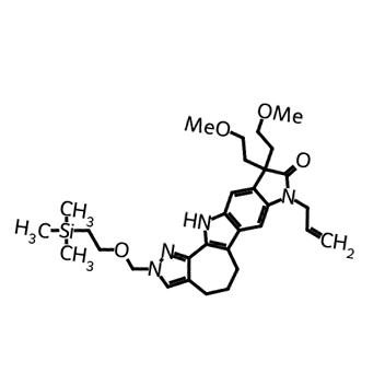 C=CCN1C(=O)C(CCOC)(CCOC)c2cc3[nH]c4c(c3cc21)CCCc1cn(COCC[Si](C)(C)C)nc1-4